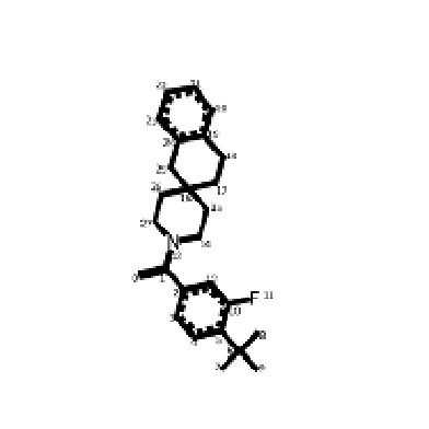 C=C(c1ccc(C(C)(C)C)c(F)c1)N1CCC2(CCc3ccccc3C2)CC1